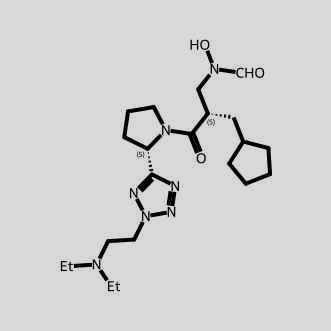 CCN(CC)CCn1nnc([C@@H]2CCCN2C(=O)[C@@H](CC2CCCC2)CN(O)C=O)n1